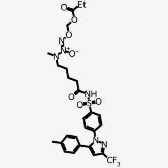 CCC(=O)OCO/N=[N+](\[O-])N(C)CCCCC(=O)NS(=O)(=O)c1ccc(-n2nc(C(F)(F)F)cc2-c2ccc(C)cc2)cc1